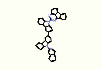 c1ccc2c(c1)-c1cccc3nc(-n4c5ccccc5c5cc(-c6ccc7c(c6)c6ccccc6n7-c6ccc7ccccc7c6)ccc54)nc-2c13